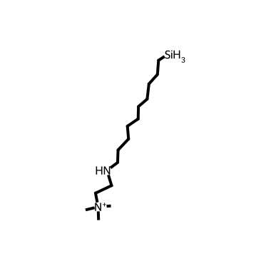 C[N+](C)(C)CCNCCCCCCCCCC[SiH3]